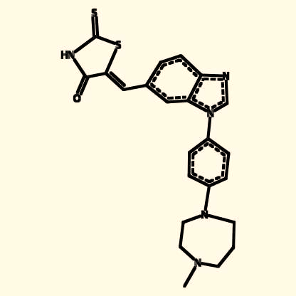 CN1CCCN(c2ccc(-n3cnc4ccc(/C=C5\SC(=S)NC5=O)cc43)cc2)CC1